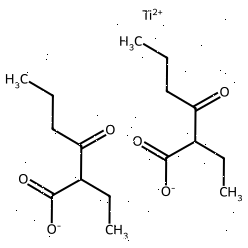 CCCC(=O)C(CC)C(=O)[O-].CCCC(=O)C(CC)C(=O)[O-].[Ti+2]